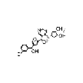 [CH2][C@@H]1C[C@@H](Nc2ncncc2C(=O)c2cc([C@H](O)c3cccc(Cl)c3)co2)C[C@@H]1O